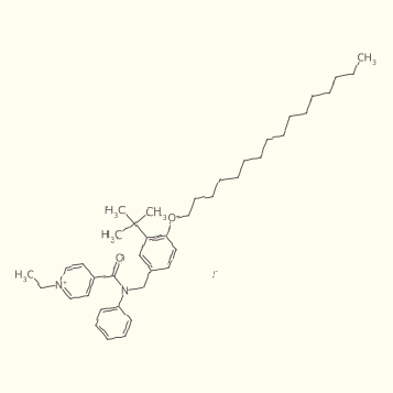 CCCCCCCCCCCCCCCCOc1ccc(CN(C(=O)c2cc[n+](CC)cc2)c2ccccc2)cc1C(C)(C)C.[I-]